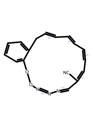 N#CC1=C\C=C/C=C/C=C/Cc2ccccc2OO/N=N\N=C\1